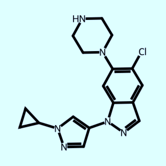 Clc1cc2cnn(-c3cnn(C4CC4)c3)c2cc1N1CCNCC1